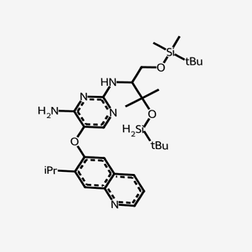 CC(C)c1cc2ncccc2cc1Oc1cnc(NC(CO[Si](C)(C)C(C)(C)C)C(C)(C)O[SiH2]C(C)(C)C)nc1N